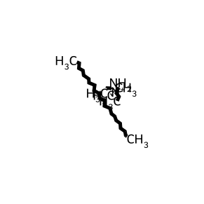 CCC(N)[N+](C)(C)CC.CCCCCCCCCCCCCCCCCCCCCC